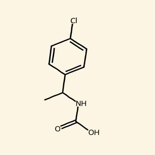 CC(NC(=O)O)c1ccc(Cl)cc1